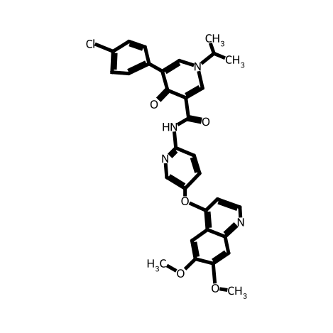 COc1cc2nccc(Oc3ccc(NC(=O)c4cn(C(C)C)cc(-c5ccc(Cl)cc5)c4=O)nc3)c2cc1OC